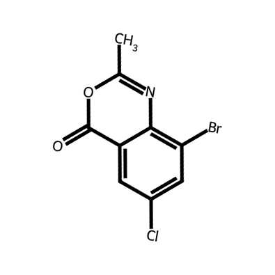 Cc1nc2c(Br)cc(Cl)cc2c(=O)o1